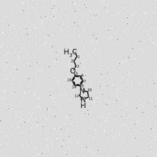 CCCCOc1ccc(N2CCNC2)cc1